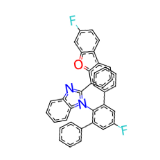 Fc1cc(-c2ccccc2)c(-n2c(-c3cccc4c3oc3cc(F)ccc34)nc3ccccc32)c(-c2ccccc2)c1